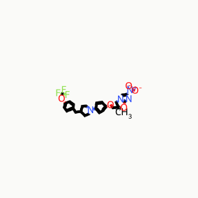 C[C@]1(COc2ccc(N3CCC(Cc4ccc(OC(F)(F)F)cc4)CC3)cc2)Cn2cc([N+](=O)[O-])nc2O1